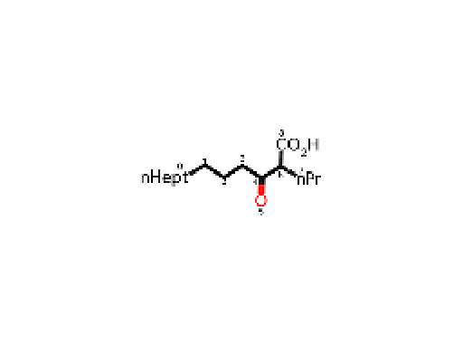 CCCCCCCCCCC(=O)C(CCC)C(=O)O